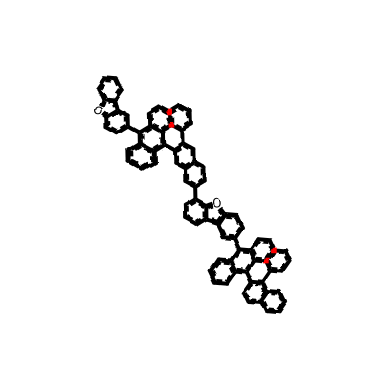 c1ccc(-c2cc3ccc(-c4cccc5c4oc4ccc(-c6c7ccccc7c(-c7ccc8ccccc8c7-c7ccccc7)c7ccccc67)cc45)cc3cc2-c2c3ccccc3c(-c3ccc4oc5ccccc5c4c3)c3ccccc23)cc1